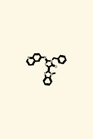 CN1C(=C2SC(=Nc3ccc4ncccc4c3)N(Cc3ccccc3)C2=O)Sc2ccccc21